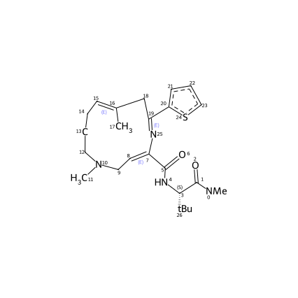 CNC(=O)[C@@H](NC(=O)C1=C\CN(C)CCC/C=C(\C)C/C(c2cccs2)=N\1)C(C)(C)C